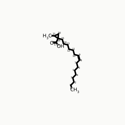 CCCCCCCC/C=C\CCCCCCC1(C(=O)O)CC1C